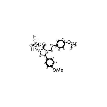 COc1ccc(C2CN(NS(C)(=O)=O)C(=O)N2CCc2ccc(OC(F)F)cc2)cc1